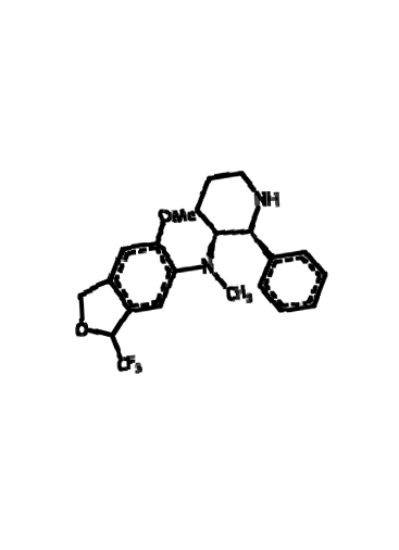 COc1cc2c(cc1N(C)[C@H]1CCCN[C@H]1c1ccccc1)C(C(F)(F)F)OC2